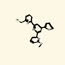 COc1cccc(-c2cc(-c3cccs3)cc(-c3cccc(CO)n3)n2)n1